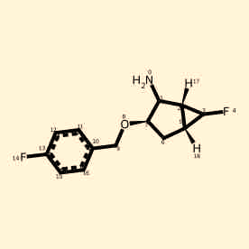 NC1[C@@H]2C(F)[C@@H]2C[C@H]1OCc1ccc(F)cc1